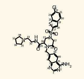 Nc1ncnc2cc(CN3C(=O)CN(S(=O)(=O)c4cc5ccc(Cl)cc5s4)CC3C(=O)NCCN3CCCC3)ccc12